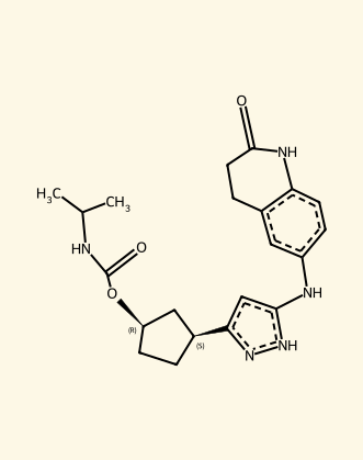 CC(C)NC(=O)O[C@@H]1CC[C@H](c2cc(Nc3ccc4c(c3)CCC(=O)N4)[nH]n2)C1